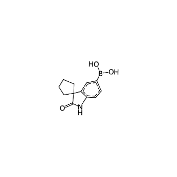 O=C1Nc2ccc(B(O)O)cc2C12CCCC2